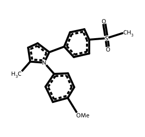 COc1ccc(-n2c(C)ccc2-c2ccc(S(C)(=O)=O)cc2)cc1